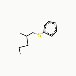 CCCC(C)CSc1ccccc1